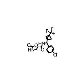 O=C1NC[C@@H](C(=O)NC(c2ccc(Cl)cc2)C23CC(C(F)(F)F)(C2)C3)O1